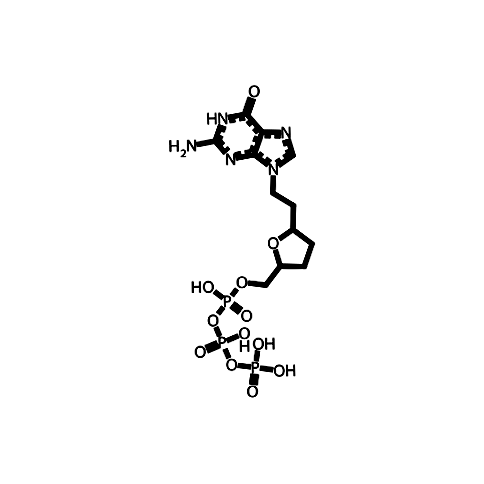 Nc1nc2c(ncn2CCC2CCC(COP(=O)(O)OP(=O)(O)OP(=O)(O)O)O2)c(=O)[nH]1